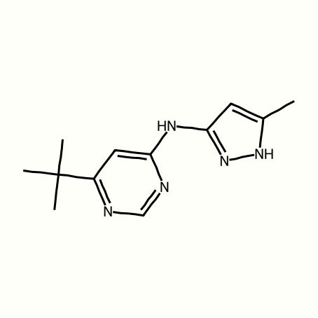 Cc1cc(Nc2cc(C(C)(C)C)ncn2)n[nH]1